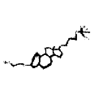 CNCCOc1ccc2c(c1)CCC1C2CCC2(C)C(OCCCOC(C)(C(F)(F)F)C(F)(F)F)CCC12